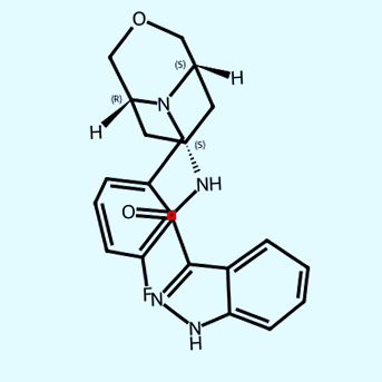 O=C(N[C@H]1C[C@H]2COC[C@@H](C1)N2Cc1cccc(F)c1)c1n[nH]c2ccccc12